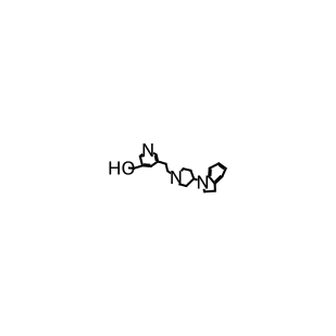 OCc1cncc(CCN2CCC(N3CCc4ccccc43)CC2)c1